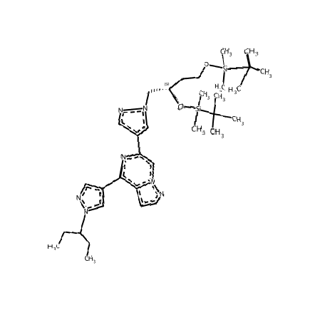 CCC(CC)n1cc(-c2nc(-c3cnn(C[C@H](CCO[Si](C)(C)C(C)(C)C)O[Si](C)(C)C(C)(C)C)c3)cn3nccc23)cn1